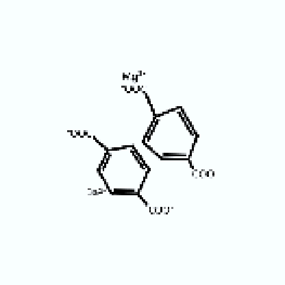 O=C([O-])c1ccc(C(=O)[O-])cc1.O=C([O-])c1ccc(C(=O)[O-])cc1.[Ba+2].[Mg+2]